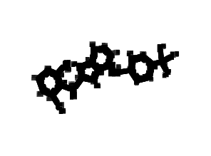 FC(F)(F)c1ccc(Nc2ncnc3sc(Nc4c(Cl)cccc4Cl)nc23)nc1